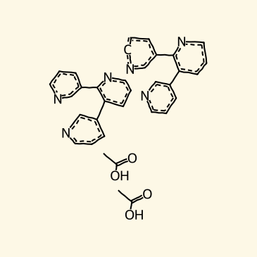 CC(=O)O.CC(=O)O.c1cncc(-c2cccnc2-c2cccnc2)c1.c1cncc(-c2cccnc2-c2cccnc2)c1